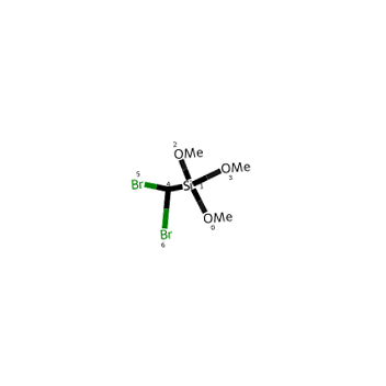 CO[Si](OC)(OC)C(Br)Br